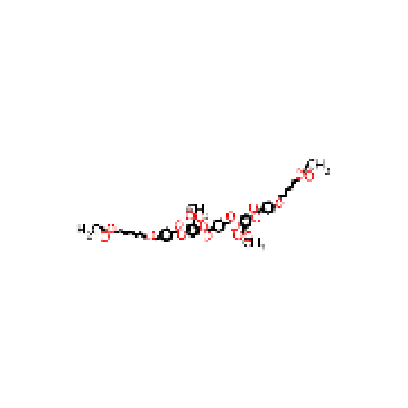 C=CC(=O)OCCCCCCCOCC1CCC(C(=O)Oc2ccc(OC(=O)C3CCC(C(=O)Oc4ccc(OC(=O)C5CCC(OCCCCCCOC(=O)C=C)CC5)cc4C(=O)OC)CC3)c(C(=O)OC)c2)CC1